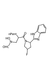 CCCCCC(CN(O)C=O)C(=O)N1CC(F)CC1c1nc2ccccc2[nH]1